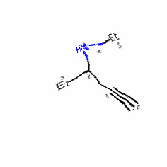 [C]#CC(CC)NCC